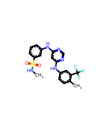 CNS(=O)(=O)c1cccc(Nc2cc(Nc3ccc(C)c(C(F)(F)F)c3)ncn2)c1